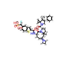 N#C[C@H]1[C@H](c2ccccc2)CN(C(=O)[C@@H]2CC[C@@H]3C[C@@H](N4CCC4)CC[C@H](NC(=O)c4cc5cc([C@@H](F)P(=O)(O)O)ccc5s4)C(=O)N32)C12CC2